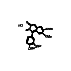 COc1ccc(-c2c3cc(OC)c(OC)cc3cc(=O)n2C)cc1OC.Cl